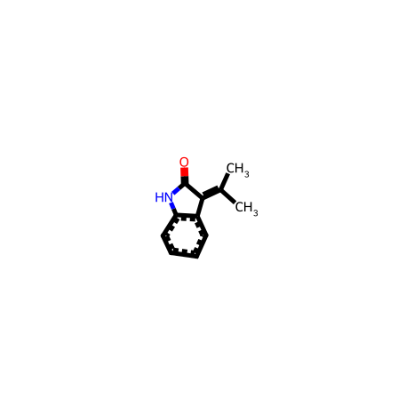 CC(C)=C1C(=O)Nc2ccccc21